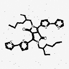 CCCCC(CC)CN1C(=O)C2=C(c3ccc(-c4cccs4)s3)N(CC(CC)CCCC)C(=O)C2=C1c1ccc(-c2cccs2)s1